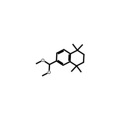 COC(OC)c1ccc2c(c1)C(C)(C)CCC2(C)C